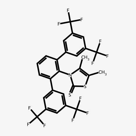 Cc1sc(=S)n(-c2c(-c3cc(C(F)(F)F)cc(C(F)(F)F)c3)cccc2-c2cc(C(F)(F)F)cc(C(F)(F)F)c2)c1C